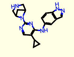 c1cc2[nH]ncc2cc1Nc1nc(N2C3CNCC2C3)ncc1C1CC1